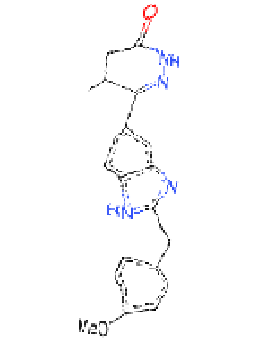 COc1ccc(Cc2nc3cc(C4=NNC(=O)CC4C)ccc3[nH]2)cc1